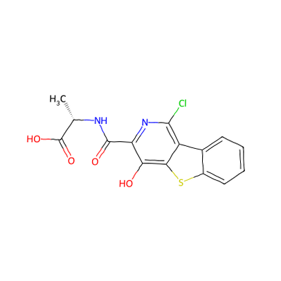 C[C@H](NC(=O)c1nc(Cl)c2c(sc3ccccc32)c1O)C(=O)O